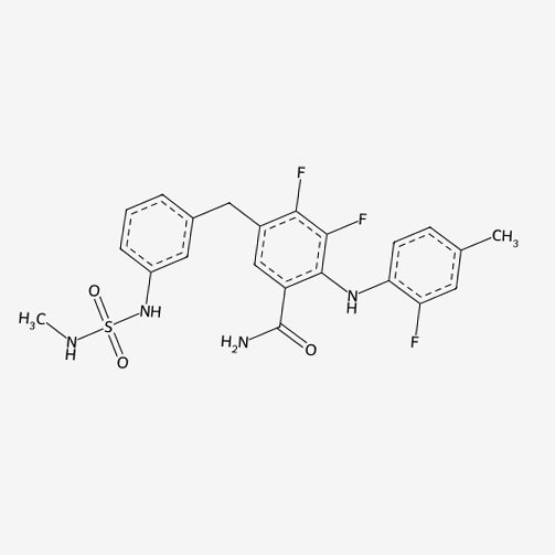 CNS(=O)(=O)Nc1cccc(Cc2cc(C(N)=O)c(Nc3ccc(C)cc3F)c(F)c2F)c1